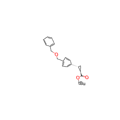 CC(C)(C)OC(=O)[C@@H]1C[C@H]1c1ccc(COCc2ccccc2)cc1